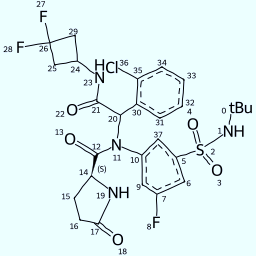 CC(C)(C)NS(=O)(=O)c1cc(F)cc(N(C(=O)[C@@H]2CCC(=O)N2)C(C(=O)NC2CC(F)(F)C2)c2ccccc2Cl)c1